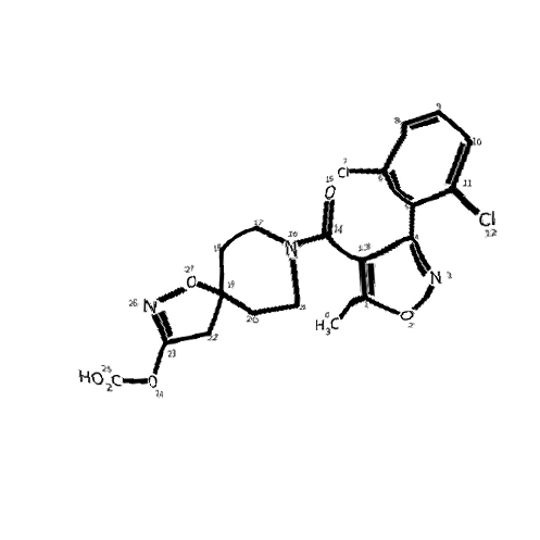 Cc1onc(-c2c(Cl)cccc2Cl)c1C(=O)N1CCC2(CC1)CC(OC(=O)O)=NO2